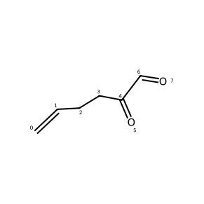 C=CCCC(=O)C=O